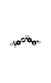 CCOc1cncc(-c2ccc(C(C)N3CCN(c4ccc(C(=O)N(CC)CC)cc4)CC3)cc2)c1